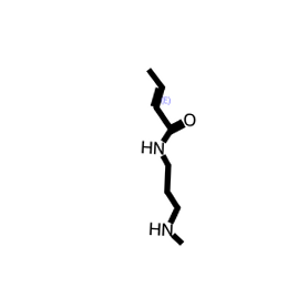 C/C=C/C(=O)NCCCNC